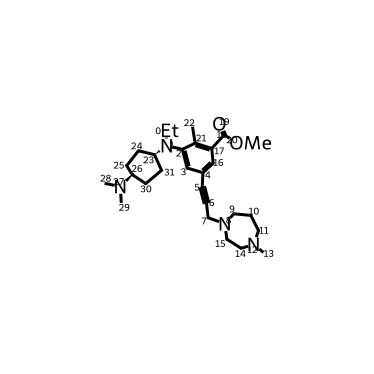 CCN(c1cc(C#CCN2CCCN(C)CC2)cc(C(=O)OC)c1C)[C@H]1CC[C@H](N(C)C)CC1